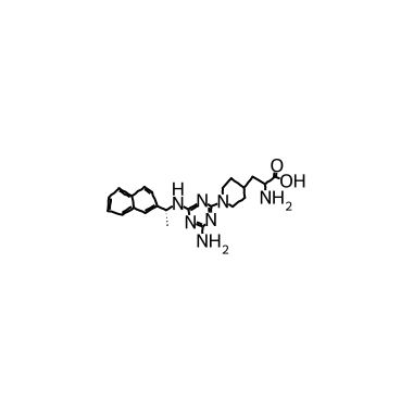 C[C@@H](Nc1nc(N)nc(N2CCC(CC(N)C(=O)O)CC2)n1)c1ccc2ccccc2c1